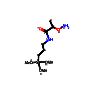 CO[Si](CCCNC(=O)C(C)ON)(OC)OC